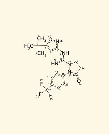 CC(C)(C)c1cc(NC(=N)N2CCC(=O)N2c2ccc(C(F)(F)F)cc2)no1